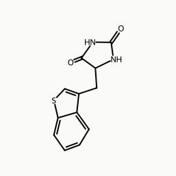 O=C1NC(=O)C(Cc2csc3ccccc23)N1